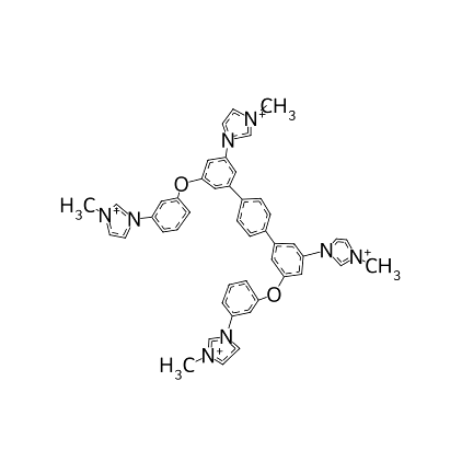 C[n+]1ccn(-c2cccc(Oc3cc(-c4ccc(-c5cc(Oc6cccc(-n7cc[n+](C)c7)c6)cc(-n6cc[n+](C)c6)c5)cc4)cc(-n4cc[n+](C)c4)c3)c2)c1